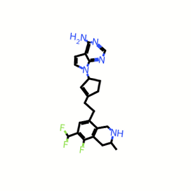 CC1Cc2c(F)c(C(F)F)cc(CCC3=CC(n4ccc5c(N)ncnc54)CC3)c2CN1